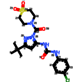 CC(C)(C)c1cc(NC(=O)Nc2ccc(Cl)cc2)n(C(=O)N2CCS(=O)(=O)CC2)n1